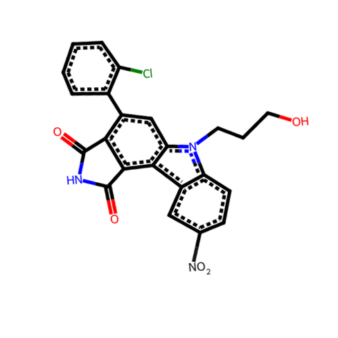 O=C1NC(=O)c2c1c(-c1ccccc1Cl)cc1c2c2cc([N+](=O)[O-])ccc2n1CCCO